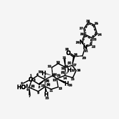 COC[C@]12CC[C@@](C)(O)C[C@H]1CC[C@H]1[C@@H]3CC[C@H](C(=O)Cn4cc5ccccc5n4)[C@@]3(C)CC[C@@H]12